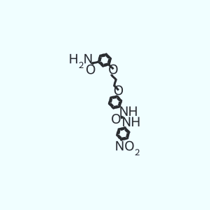 NC(=O)c1cccc(OCCCOc2cccc(NC(=O)Nc3ccc([N+](=O)[O-])cc3)c2)c1